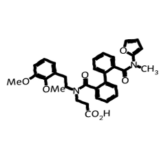 COc1cccc(CCN(CCC(=O)O)C(=O)c2ccccc2-c2ccccc2C(=O)N(C)c2ccco2)c1OC